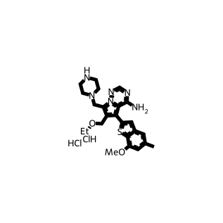 CCOCc1c(-c2cc3cc(C)cc(OC)c3s2)c2c(N)ncnn2c1CN1CCNCC1.Cl.Cl